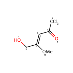 CO/C(=C\C(=O)C(Cl)(Cl)Cl)CO